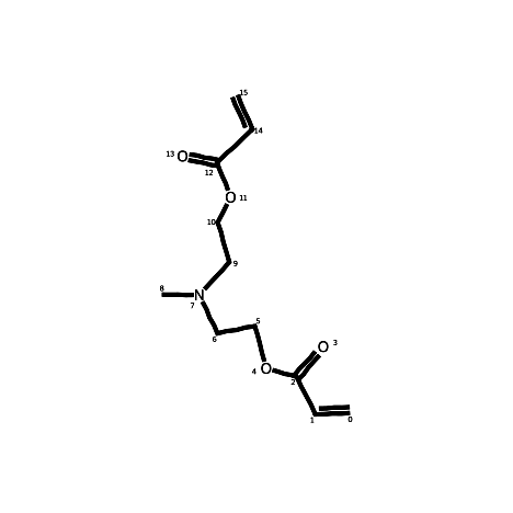 C=CC(=O)OCCN(C)CCOC(=O)C=C